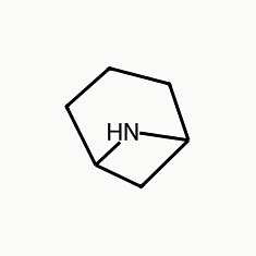 C1CC2CC(C1)N2